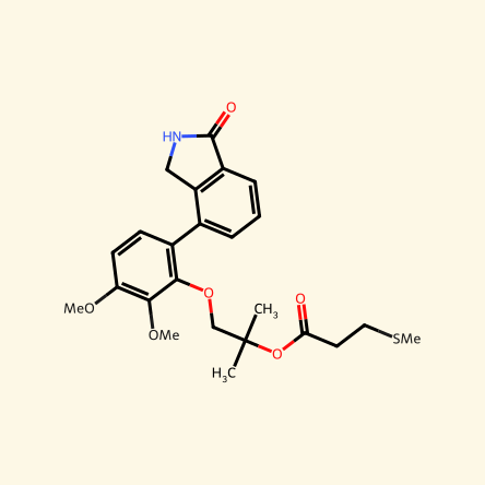 COc1ccc(-c2cccc3c2CNC3=O)c(OCC(C)(C)OC(=O)CCSC)c1OC